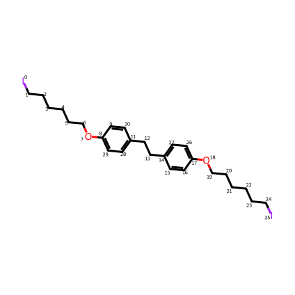 ICCCCCCOc1ccc(CCc2ccc(OCCCCCCI)cc2)cc1